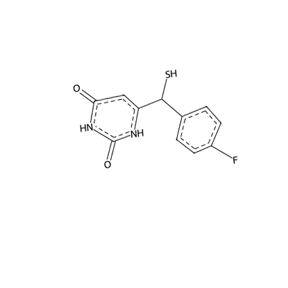 O=c1cc(C(S)c2ccc(F)cc2)[nH]c(=O)[nH]1